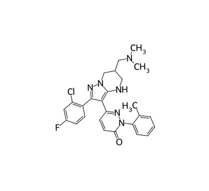 Cc1ccccc1-n1nc(-c2c(-c3ccc(F)cc3Cl)nn3c2NCC(CN(C)C)C3)ccc1=O